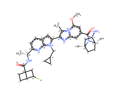 COc1cc(C(=O)N2[C@H]3CC[C@@H]2[C@H](N)C3)cc2nc(-c3cc4ccc([C@@H](C)NC(=O)C56CCC5C(F)C6)nc4n3CC3CC3)c(C)n12